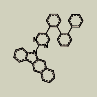 c1ccc(-c2ccccc2-c2ccccc2-c2cnc(-n3c4ccccc4c4cc5ccccc5cc43)nc2)cc1